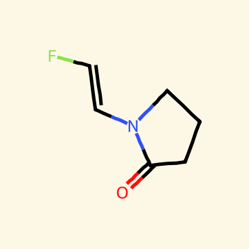 O=C1CCCN1C=CF